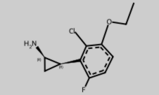 CCOc1ccc(F)c([C@H]2C[C@H]2N)c1Cl